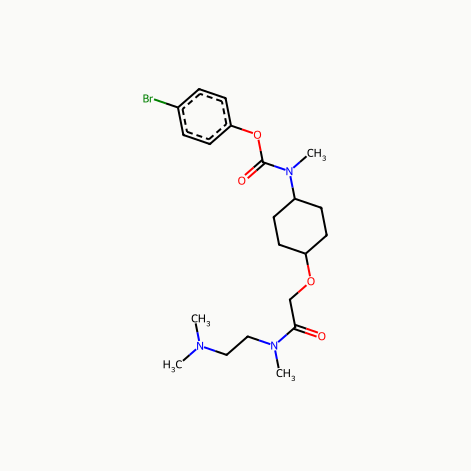 CN(C)CCN(C)C(=O)COC1CCC(N(C)C(=O)Oc2ccc(Br)cc2)CC1